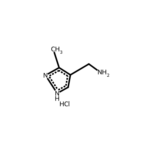 Cc1n[nH]cc1CN.Cl